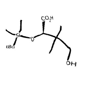 CC(C)(CO)[C@@H](O[Si](C)(C)C(C)(C)C)C(=O)O